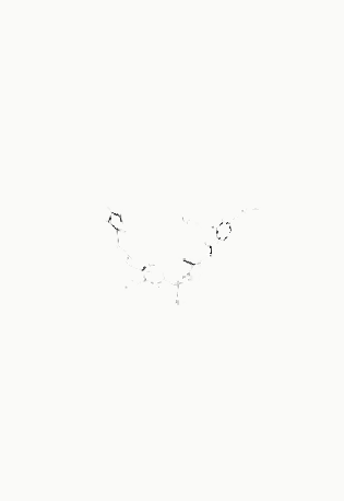 CCCCC(NCC(NC(=O)/C=C/c1ccc(OC)cc1OC)C(C)CC)C(=O)CSCc1ccco1